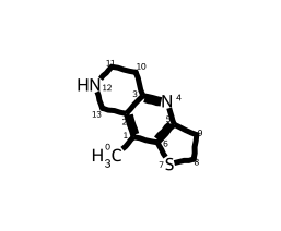 Cc1c2c(nc3c1SCC3)CCNC2